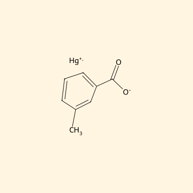 Cc1cccc(C(=O)[O-])c1.[Hg+]